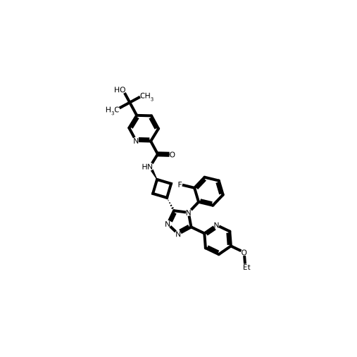 CCOc1ccc(-c2nnc([C@H]3C[C@H](NC(=O)c4ccc(C(C)(C)O)cn4)C3)n2-c2ccccc2F)nc1